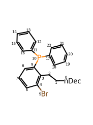 CCCCCCCCCCCCc1c(Br)cccc1P(c1ccccc1)c1ccccc1